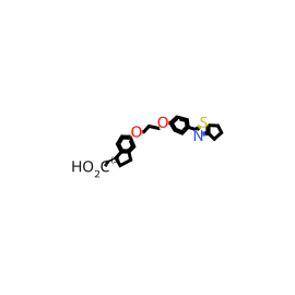 O=C(O)C[C@@H]1CCc2cc(OCCCOc3ccc(-c4nc5c(s4)CCC5)cc3)ccc21